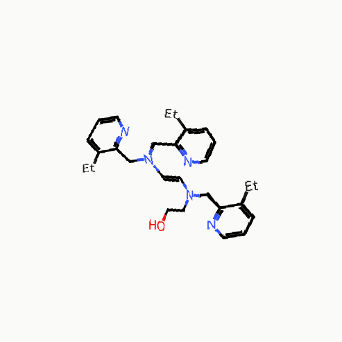 CCc1cccnc1CN(C=CN(Cc1ncccc1CC)Cc1ncccc1CC)CCO